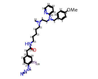 COc1ccc(CN(CCN(C)CCCCCNC(=O)Cc2ccc(N=[N+]=[N-])c([125I])c2)c2ccccn2)cc1